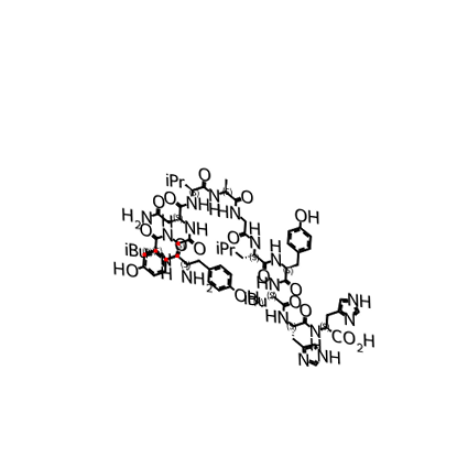 CC[C@@H](C)[C@H](NC(=O)[C@H](Cc1ccc(O)cc1)NC(=O)[C@H](CC(C)C)NC(=O)CNC(=O)[C@H](C)NC(=O)[C@@H](NC(=O)[C@H](CC(N)=O)NC(=O)[C@H](Cc1ccc(O)cc1)NC(=O)[C@@H](NC(=O)[C@@H](N)Cc1ccc(O)cc1)[C@H](C)CC)C(C)C)C(=O)N[C@@H](Cc1c[nH]cn1)C(=O)N[C@@H](Cc1c[nH]cn1)C(=O)O